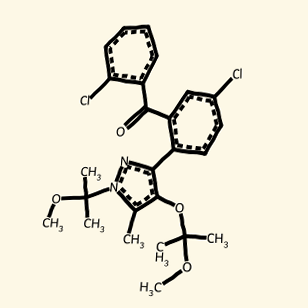 COC(C)(C)Oc1c(-c2ccc(Cl)cc2C(=O)c2ccccc2Cl)nn(C(C)(C)OC)c1C